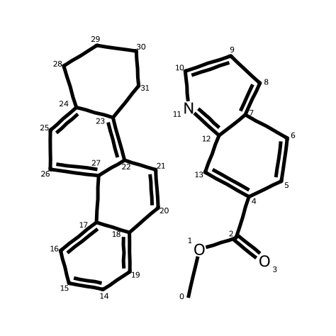 COC(=O)c1ccc2cccnc2c1.c1ccc2c(c1)ccc1c3c(ccc12)CCCC3